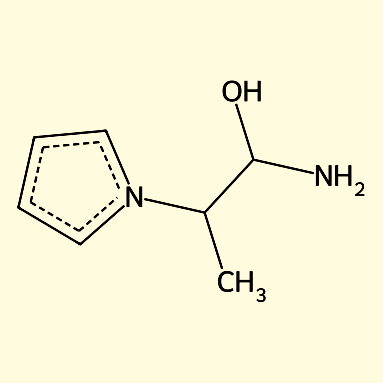 CC(C(N)O)n1cccc1